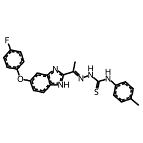 C/C(=N\NC(=S)Nc1ccc(C)cc1)c1nc2cc(Oc3ccc(F)cc3)ccc2[nH]1